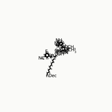 CCCCCCCCCCCCCCCCCCCC[C@@H](COP(=O)(O)OC[C@@]1(C#N)OC(c2ccc3c(N)ncnn23)[C@@H]2OC(C)(C)O[C@@H]21)OCc1cc(F)cc(C#N)c1